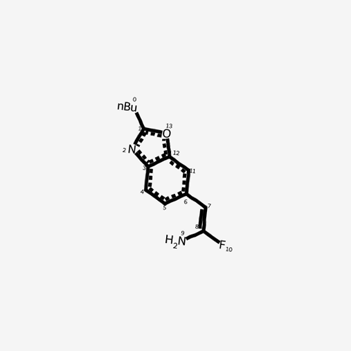 CCCCc1nc2ccc(/C=C(\N)F)cc2o1